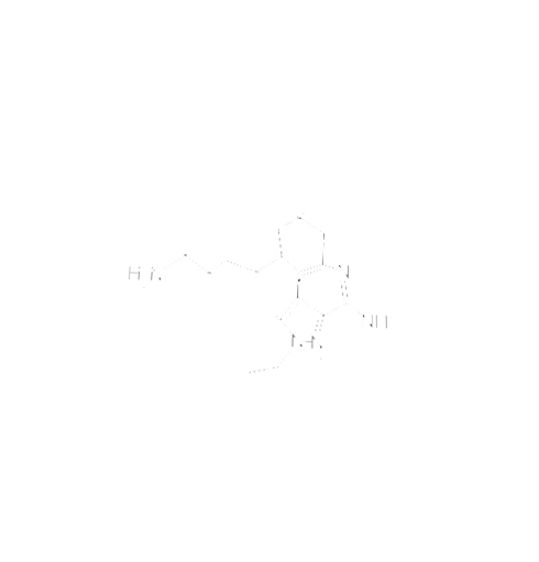 CCCn1cc2c3c(nc(N)c2n1)CCCC3CCCCN